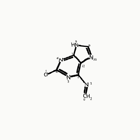 C=Nc1nc(Cl)nc2[nH]cnc12